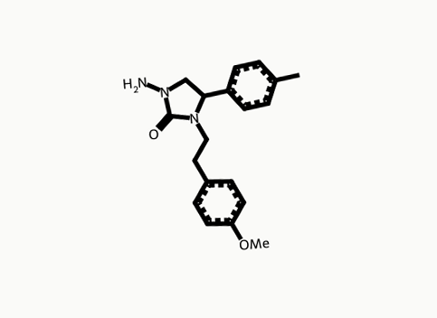 COc1ccc(CCN2C(=O)N(N)CC2c2ccc(C)cc2)cc1